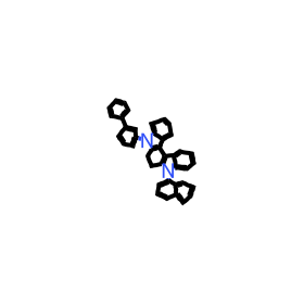 c1ccc(-c2cccc(-n3c4c(c5ccccc53)-c3c(n(-c5cccc6ccccc56)c5ccccc35)CC4)c2)cc1